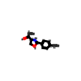 COC(=O)[C@@H]1COC(c2ccc(OC)cc2)=N1